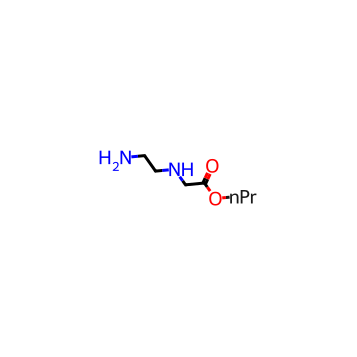 CCCOC(=O)CNCCN